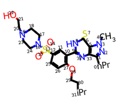 CCCc1nn(C)c2c(=S)[nH]c(-c3cc(S(=O)(=O)N4CCN(CCO)CC4)ccc3OCCC(C)C)nc12